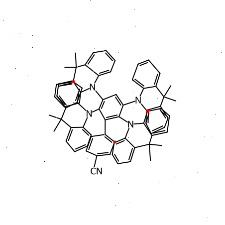 CC1(C)c2ccccc2N(c2cc(N3c4ccccc4C(C)(C)c4ccccc43)c(N3c4ccccc4C(C)(C)c4ccccc43)c(-c3ccc(C#N)cc3)c2N2c3ccccc3C(C)(C)c3ccccc32)c2ccccc21